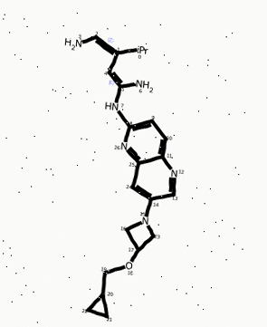 CC(C)C(=C/N)/C=C(\N)Nc1ccc2ncc(N3CC(OCC4CC4)C3)cc2n1